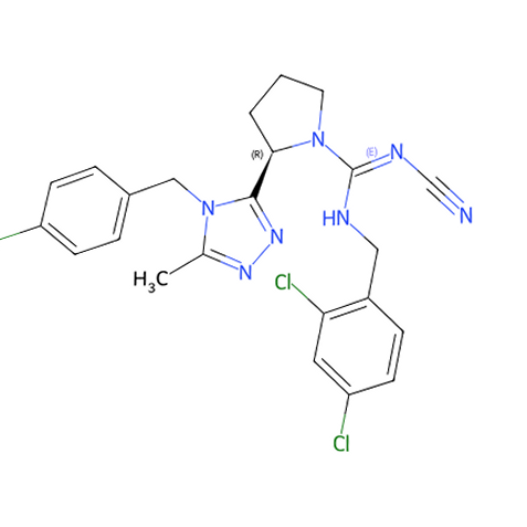 Cc1nnc([C@H]2CCCN2/C(=N/C#N)NCc2ccc(Cl)cc2Cl)n1Cc1ccc(Cl)cc1